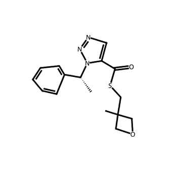 C[C@H](c1ccccc1)n1nncc1C(=O)SCC1(C)COC1